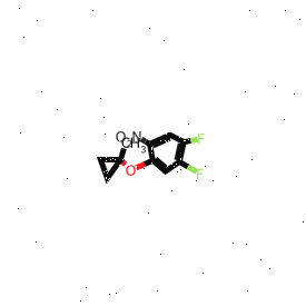 CC1(Oc2cc(F)c(F)cc2[N+](=O)[O-])CC1